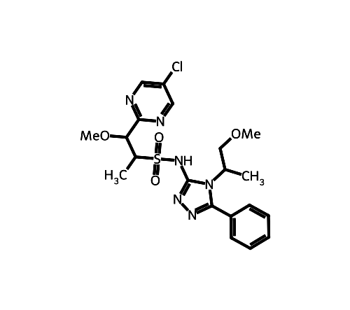 COCC(C)n1c(NS(=O)(=O)C(C)C(OC)c2ncc(Cl)cn2)nnc1-c1ccccc1